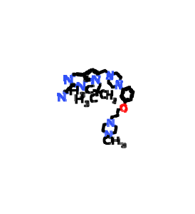 CN1CCN(CCCOc2cccc(N3CCN(Cc4cc5cnc(C#N)nc5n4CC(C)(C)C)CC3)c2)CC1